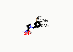 COc1cc(CN2CCC2C(=O)NO)cc(SC(F)(F)F)c1OC